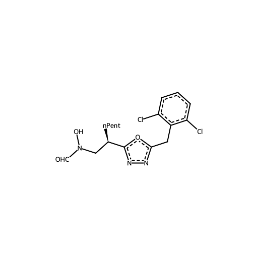 CCCCC[C@H](CN(O)C=O)c1nnc(Cc2c(Cl)cccc2Cl)o1